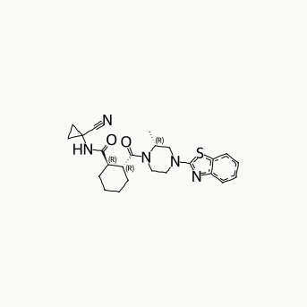 C[C@@H]1CN(c2nc3ccccc3s2)CCN1C(=O)[C@@H]1CCCC[C@H]1C(=O)NC1(C#N)CC1